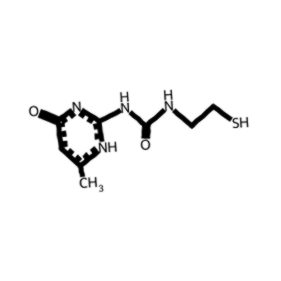 Cc1cc(=O)nc(NC(=O)NCCS)[nH]1